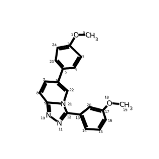 COc1ccc(-c2ccc3nnc(-c4cccc(OC)c4)n3c2)cc1